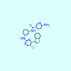 Nc1ccc(C(=O)Nc2cccc(Nc3ncc(Cl)c(C4=CCc5ccccc54)n3)c2)cn1